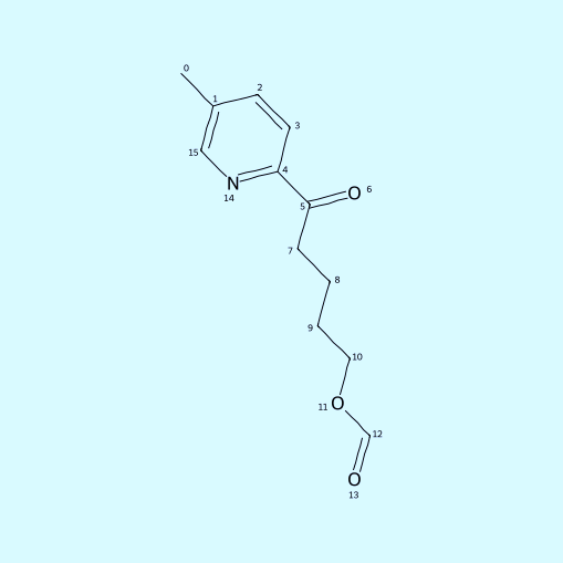 Cc1ccc(C(=O)CCCCOC=O)nc1